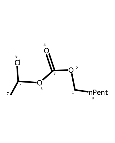 CCCCCCOC(=O)OC(C)Cl